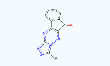 CCCc1nnc2nc3c(nn12)C(=O)c1ccccc1-3